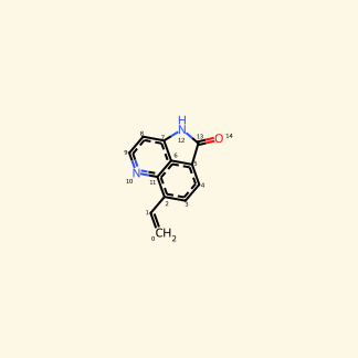 C=Cc1ccc2c3c(ccnc13)NC2=O